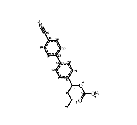 CCCC(OC(=O)O)c1ccc(-c2ccc(C#N)cc2)cc1